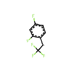 Fc1ccc([CH]C(F)(F)F)c(F)c1